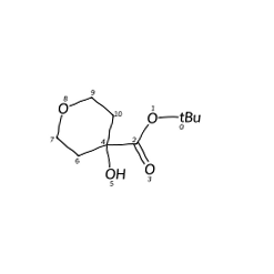 CC(C)(C)OC(=O)C1(O)CCOCC1